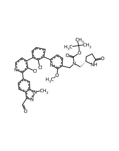 COc1nc(-c2cccc(-c3ccnc(-c4ccc5c(C=O)nn(C)c5c4)c3Cl)c2Cl)ccc1CN(C[C@@H]1CCC(=O)N1)C(=O)OC(C)(C)C